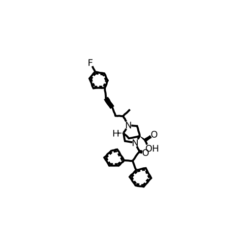 CC(CC#Cc1ccc(F)cc1)N1C[C@@]2(C(=O)O)C[C@H]1CN2C(=O)C(c1ccccc1)c1ccccc1